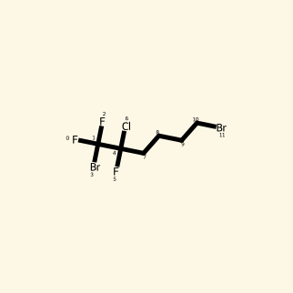 FC(F)(Br)C(F)(Cl)CCCCBr